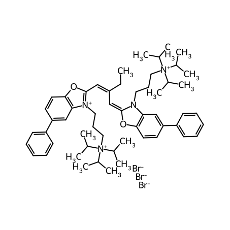 CCC(=Cc1oc2ccc(-c3ccccc3)cc2[n+]1CCC[N+](C(C)C)(C(C)C)C(C)C)C=C1Oc2ccc(-c3ccccc3)cc2N1CCC[N+](C(C)C)(C(C)C)C(C)C.[Br-].[Br-].[Br-]